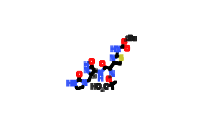 CC(C)(C)OC(=O)Nc1nc(C(=NOC(C)(C)C(=O)O)C(=O)N[C@@H]2C(=O)N[C@@H]2CN2CCNC2=O)cs1